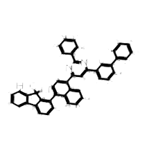 CC1(C)c2ccccc2-c2cccc(-c3ccc(-c4cc(-c5cccc(-c6ccccc6)c5)nc(-c5ccccc5)n4)c4ccccc34)c21